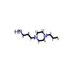 CCCN1CCN(CCC[NH])CC1